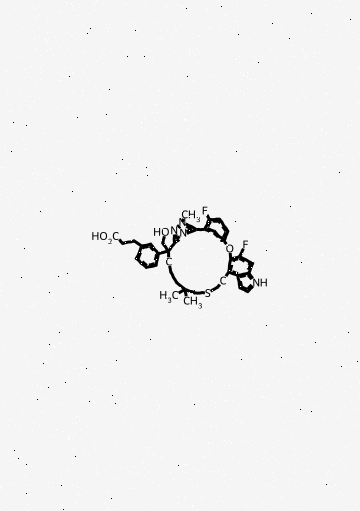 Cn1nc2nc1-c1cc(ccc1F)Oc1c(F)cc3[nH]ccc3c1CCSCC(C)(C)CCCC2(CO)c1cccc(CCC(=O)O)c1